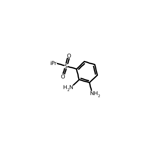 CC(C)S(=O)(=O)c1cccc(N)c1N